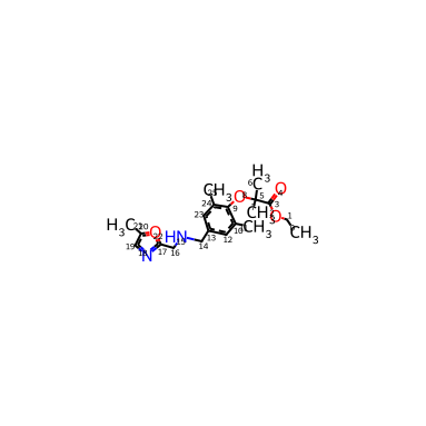 CCOC(=O)C(C)(C)Oc1c(C)cc(CNCc2ncc(C)o2)cc1C